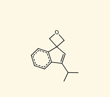 CC(C)C1=CC2(COC2)c2ccccc21